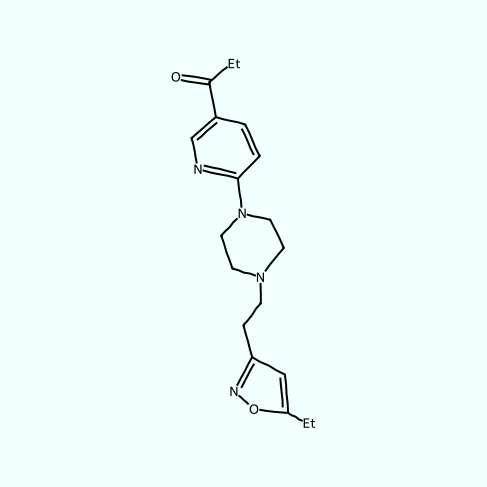 CCC(=O)c1ccc(N2CCN(CCc3cc(CC)on3)CC2)nc1